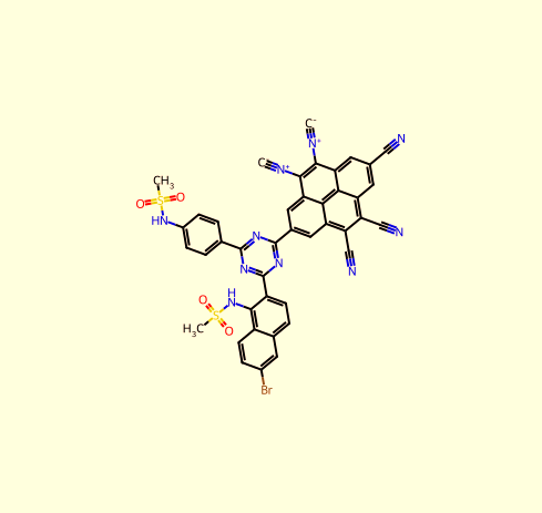 [C-]#[N+]c1c([N+]#[C-])c2cc(-c3nc(-c4ccc(NS(C)(=O)=O)cc4)nc(-c4ccc5cc(Br)ccc5c4NS(C)(=O)=O)n3)cc3c(C#N)c(C#N)c4cc(C#N)cc1c4c32